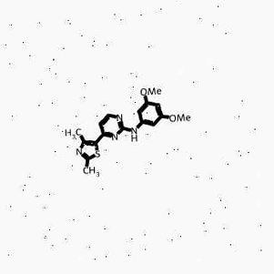 COc1cc(Nc2nccc(-c3sc(C)nc3C)n2)cc(OC)c1